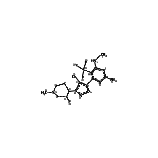 CNc1nc(N)nc(-c2cnn(C3CCN(C)CC3F)c2Cl)c1C(F)(F)F